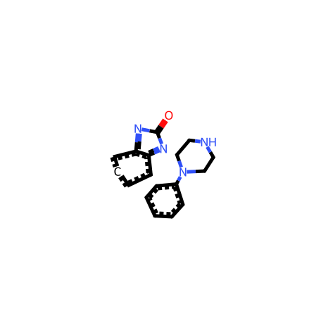 O=C1N=c2ccccc2=N1.c1ccc(N2CCNCC2)cc1